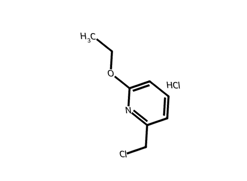 CCOc1cccc(CCl)n1.Cl